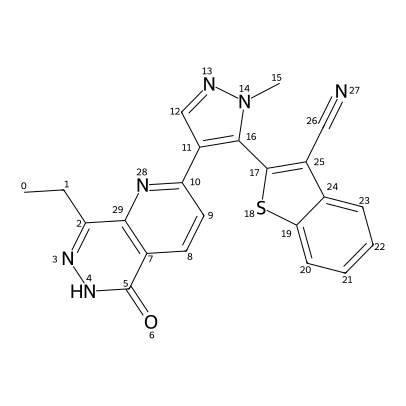 CCc1n[nH]c(=O)c2ccc(-c3cnn(C)c3-c3sc4ccccc4c3C#N)nc12